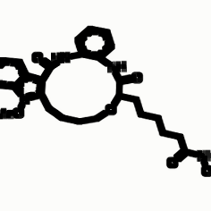 COn1c2c(c3ccccc31)C(=O)Nc1ccccc1NC(=O)C(CCCCCC(=O)NO)OCCCC2